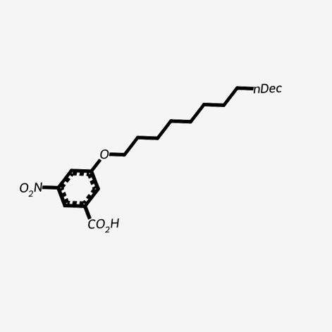 CCCCCCCCCCCCCCCCCCOc1cc(C(=O)O)cc([N+](=O)[O-])c1